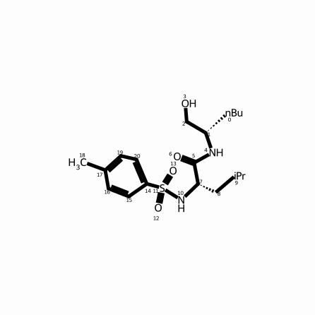 CCCC[C@@H](CO)NC(=O)[C@H](CC(C)C)NS(=O)(=O)c1ccc(C)cc1